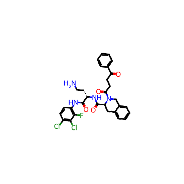 NCC[C@H](NC(=O)[C@@H]1Cc2ccccc2CN1C(=O)CCC(=O)c1ccccc1)C(=O)Nc1ccc(Cl)c(Cl)c1F